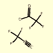 O=C(Cl)C(F)(F)F.[C-]#[N+]C(F)(F)F